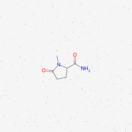 CN1C(=O)CCC1C(N)=O